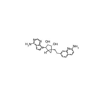 Nc1ccc2ccc(CC[C@@]34C[C@@H]3[C@@H](n3ccc5c(N)ncnc53)[C@H](O)[C@@H]4O)cc2n1